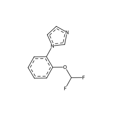 FC(F)Oc1ccccc1-n1ccnc1